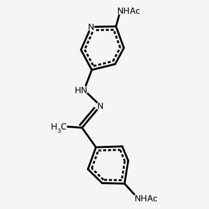 CC(=O)Nc1ccc(/C(C)=N/Nc2ccc(NC(C)=O)nc2)cc1